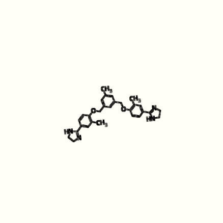 Cc1cc(COc2ccc(C3=NCCN3)cc2C)cc(COc2ccc(C3=NCCN3)cc2C)c1